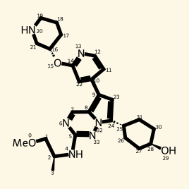 COC[C@H](C)Nc1ncc2c(-c3ccnc(O[C@H]4CCCNC4)c3)cc([C@H]3CC[C@H](O)CC3)n2n1